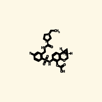 CCN1CC[C@H](C(=O)NCc2cc(F)ccc2S(=O)(=O)Nc2ccc3c(c2OC(=O)O)OC[C@@H]2C[C@H]32)C1